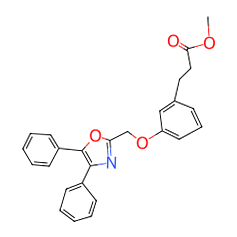 COC(=O)CCc1cccc(OCc2nc(-c3ccccc3)c(-c3ccccc3)o2)c1